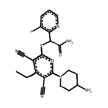 CCc1c(C#N)c(SC(C(N)=O)c2ncccc2F)nc(N2CCC(N)CC2)c1C#N